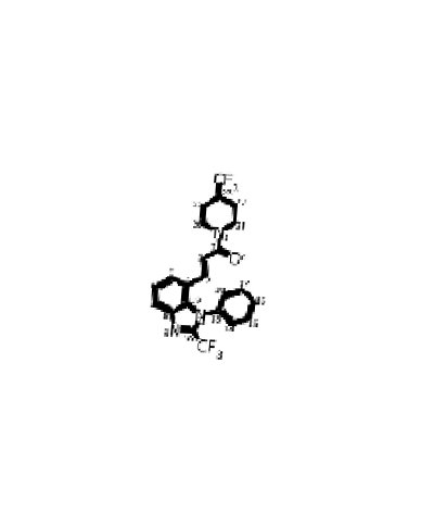 O=C(/C=C/c1cccc2nc(C(F)(F)F)n(-c3ccccc3)c12)N1CCC(C(F)(F)F)CC1